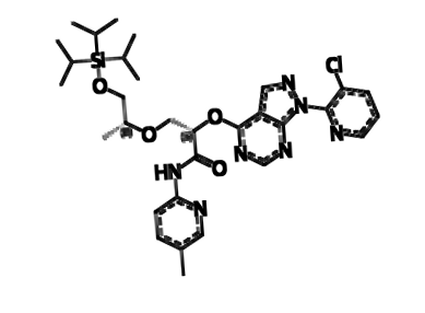 Cc1ccc(NC(=O)[C@H](CO[C@H](C)CO[Si](C(C)C)(C(C)C)C(C)C)Oc2ncnc3c2cnn3-c2ncccc2Cl)nc1